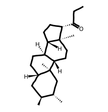 CCC(=O)[C@H]1CC[C@H]2[C@@H]3CC[C@H]4C[C@H](C)[C@@H](C)C[C@]4(C)[C@H]3CC[C@]12C